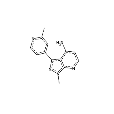 Cc1cc(-c2nn(C)c3nccc(N)c23)ccn1